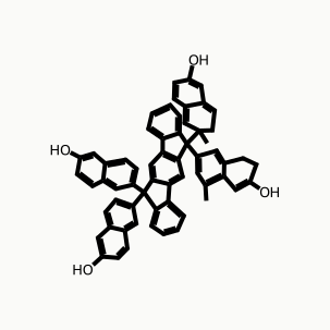 Cc1cc(C2(C3(C)C=c4ccc(O)cc4=CC3)c3ccccc3-c3cc4c(cc32)-c2ccccc2C4(c2ccc3cc(O)ccc3c2)c2ccc3cc(O)ccc3c2)cc2c1C=C(O)CC2